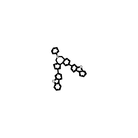 c1ccc(N2Cc3ccc(-c4ccc5c(c4)oc4ccccc45)cc3-c3cc(-c4ccc5c(c4)oc4ccccc45)ccc3C2)cc1